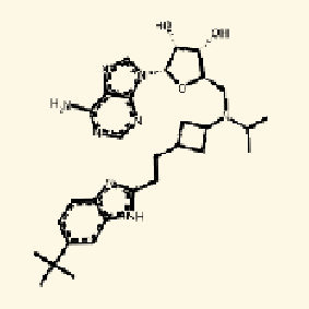 CC(C)N(C[C@H]1O[C@H](n2cnc3c(N)ncnc32)[C@H](O)[C@@H]1O)C1CC(CCc2nc3ccc(C(C)(C)C)cc3[nH]2)C1